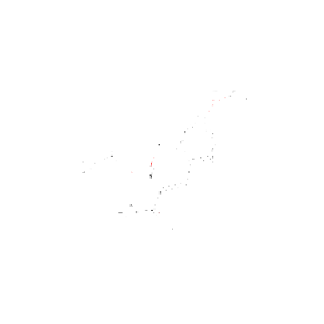 CCOC(=O)C(=Cc1ccc(OC)cc1)C(C)=O